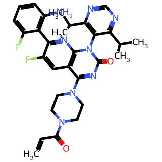 C=CC(=O)N1CCN(c2nc(=O)n(-c3c(C(C)C)ncnc3C(C)C)c3nc(-c4c(N)cccc4F)c(F)cc23)CC1